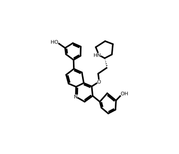 Oc1cccc(-c2ccc3ncc(-c4cccc(O)c4)c(OCC[C@H]4CCCCN4)c3c2)c1